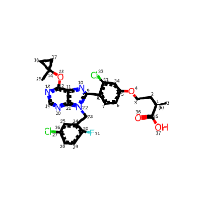 C[C@H](CCOc1ccc(-c2nc3c(OC4(C)CC4)ncnc3n2Cc2cc(Cl)ccc2F)c(Cl)c1)C(=O)O